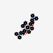 Cc1c2c(c(-n3c4ccccc4c4ccccc43)c3c1B1c4ccccc4Oc4c1c(cc1c4C(C)(C)c4cc(N(c5ccccc5)c5ccccc5)ccc4-1)O3)Oc1cc3c(c4c1B2c1ccccc1O4)C(C)(C)c1cc(N(c2ccccc2)c2ccccc2)ccc1-3